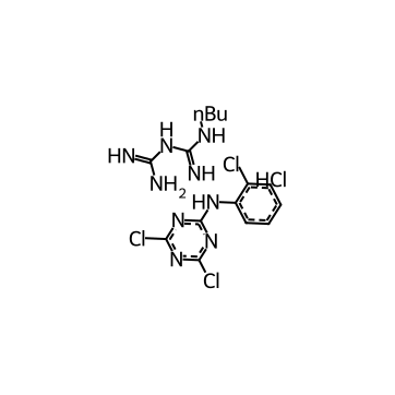 CCCCNC(=N)NC(=N)N.Cl.Clc1nc(Cl)nc(Nc2ccccc2Cl)n1